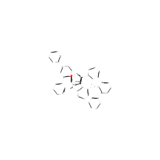 O=C1c2cccc(-n3c4c(-c5ccccc5)cccc4c4cccc(-c5ccccc5)c43)c2C(=O)N1c1ccc(-c2ccccc2)cc1-c1ccccc1